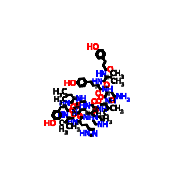 CC(C)C[C@@H](NC(=O)CNC(=O)[C@@H](C)NC(=O)[C@H](NC(=O)[C@@H](CC(N)=O)NC(=O)[C@@H](CCc1ccc(O)cc1)NC(=O)[C@H](NC(=O)CCc1ccc(O)cc1)C(C)C)C(C)C)C(=O)N[C@H](Cc1ccc(O)cc1)C(=O)N[C@@H](C(=O)N[C@H](CCc1cnc[nH]1)C(=O)N[C@H](Cc1cnc[nH]1)C(=O)N1CCNCC1)C(C)C